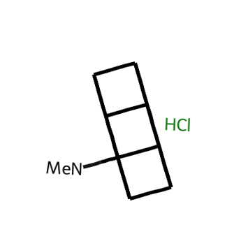 CNC12C3C4C5C3C1C5C42.Cl